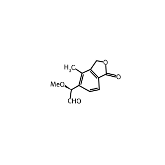 CO[C@H](C=O)c1ccc2c(c1C)COC2=O